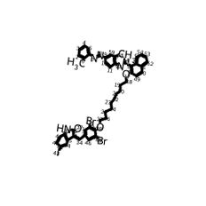 Cc1ccccc1/N=N/c1ccc(/N=N/c2c(OCCCCCCCCCCOc3c(Br)cc(C=C4C(=O)Nc5ccc(I)cc54)cc3Br)ccc3ccccc23)c(C)c1